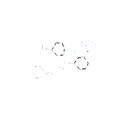 O=[N+]([O-])c1ccc([C@@H]2CN3CCC[C@H]3c3cccc(OCCCN4CCCCC4)c32)cc1